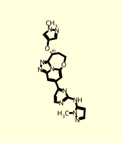 Cn1cc(O[C@@H]2CCOc3cc(-c4ccnc(Nc5ccnn5C)n4)cc4nnc2n34)cn1